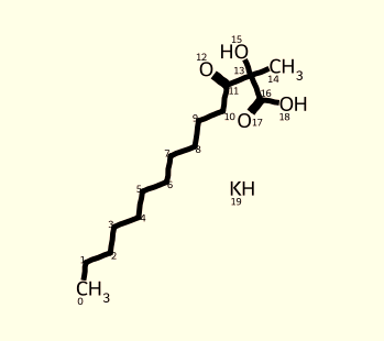 CCCCCCCCCCCC(=O)C(C)(O)C(=O)O.[KH]